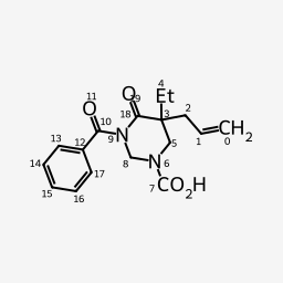 C=CCC1(CC)CN(C(=O)O)CN(C(=O)c2ccccc2)C1=O